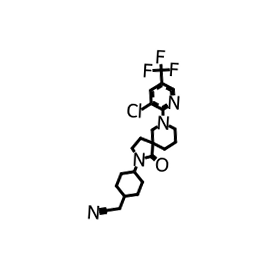 N#CCC1CCC(N2CCC3(CCCN(c4ncc(C(F)(F)F)cc4Cl)C3)C2=O)CC1